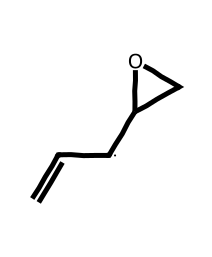 C=C[CH]C1CO1